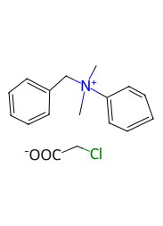 C[N+](C)(Cc1ccccc1)c1ccccc1.O=C([O-])CCl